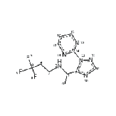 CC(NCCC(F)(F)F)c1ncnn1-c1ncccn1